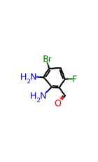 Nc1c(Br)cc(F)c(C=O)c1N